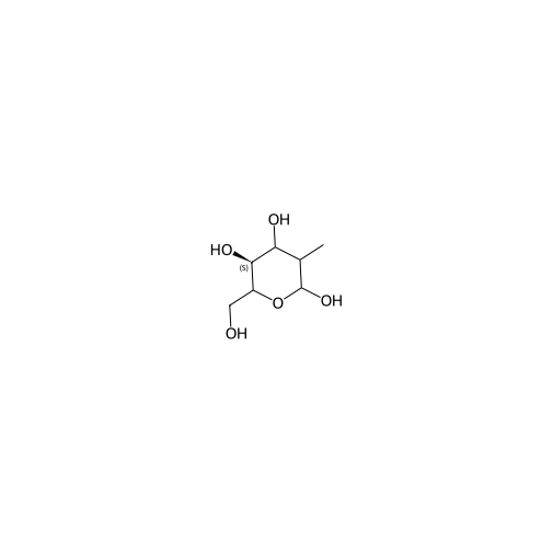 CC1C(O)OC(CO)[C@@H](O)C1O